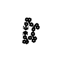 c1cnc(-c2cccc(N(c3ccc(N(c4ccc(-c5ccc(N(c6ccc(N(c7cccc(-c8ncccn8)c7)c7cccc8ccccc78)cc6)c6cccc7ccccc67)cc5)cc4)c4cccc5ccccc45)cc3)c3cccc4ccccc34)c2)nc1